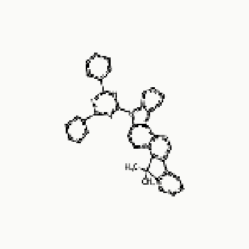 CC1(C)c2ccccc2-c2ccc3c(ccc4c3c3ccccc3n4-c3nc(-c4ccccc4)nc(-c4ccccc4)n3)c21